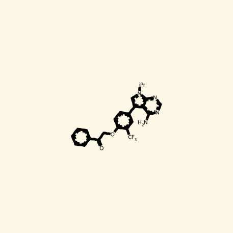 CC(C)n1cc(-c2ccc(OCC(=O)c3ccccc3)c(C(F)(F)F)c2)c2c(N)ncnc21